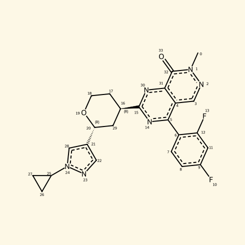 Cn1ncc2c(-c3ccc(F)cc3F)nc([C@@H]3CCO[C@@H](c4cnn(C5CC5)c4)C3)nc2c1=O